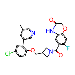 Cc1cncc(-c2cc(Cl)ccc2OCC2CN(C(=O)c3cc4c(cc3F)OCC(=O)N4)C2)c1